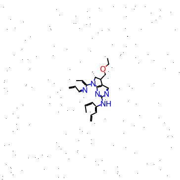 C=C/C=N\C(=C/C)N1c2nc(NC(/C=C\C)=C/C=C)ncc2C(COCC)[C@H]1C